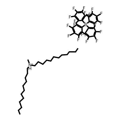 CCCCCCCCCCCC[NH+](C)CCCCCCCCCCCC.Fc1c(F)c(F)c([B-](c2c(F)c(F)c(F)c(F)c2F)(c2c(F)c(F)c(F)c(F)c2F)c2c(F)c(F)c(F)c(F)c2F)c(F)c1F